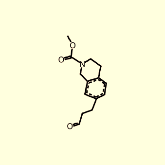 COC(=O)N1CCc2ccc(CCC=O)cc2C1